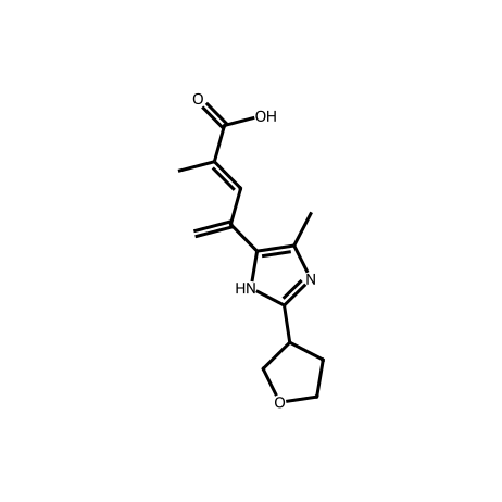 C=C(/C=C(\C)C(=O)O)c1[nH]c(C2CCOC2)nc1C